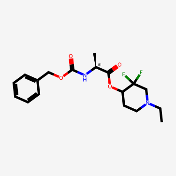 CCN1CCC(OC(=O)[C@H](C)NC(=O)OCc2ccccc2)C(F)(F)C1